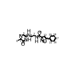 Cc1ncc(NCCNC(=O)c2cc(-c3ccccc3)on2)[nH]c1=O